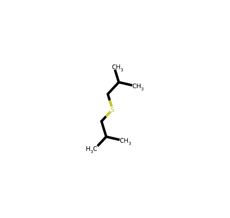 CC(C)CSCC(C)C